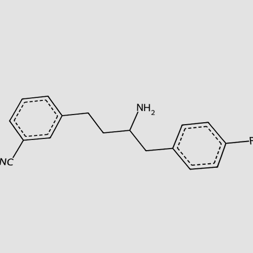 N#Cc1cccc(CCC(N)Cc2ccc(F)cc2)c1